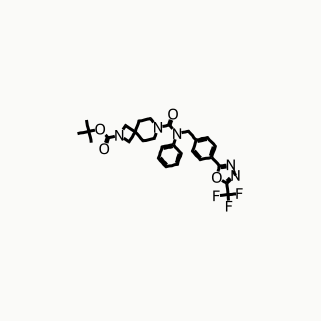 CC(C)(C)OC(=O)N1CC2(CCN(C(=O)N(Cc3ccc(-c4nnc(C(F)(F)F)o4)cc3)c3ccccc3)CC2)C1